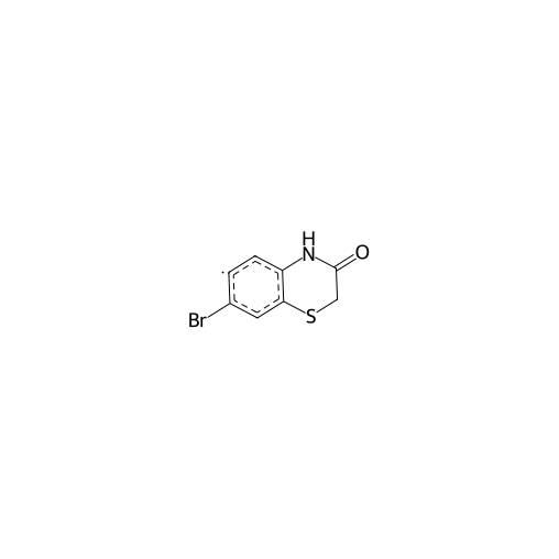 O=C1CSc2cc(Br)[c]cc2N1